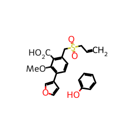 C=CCS(=O)(=O)Cc1ccc(-c2ccoc2)c(OC)c1C(=O)O.Oc1ccccc1